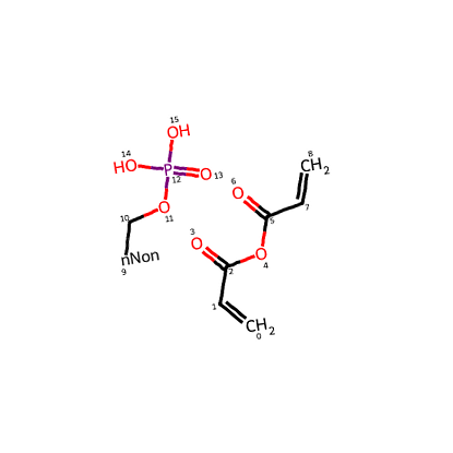 C=CC(=O)OC(=O)C=C.CCCCCCCCCCOP(=O)(O)O